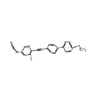 CCc1ccc(-c2ccc(C#Cc3ncc(N=C=S)cc3F)cc2)cc1